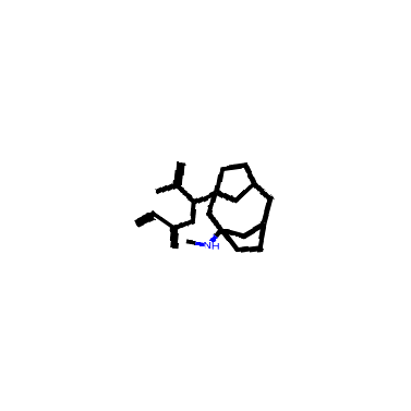 C=CC(=C)CC(C(=C)C)C12CCC(CC3CCC(NC)(C3)C1)C2